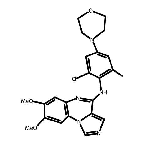 COc1cc2nc(Nc3c(C)cc(N4CCOCC4)cc3Cl)c3cncn3c2cc1OC